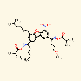 CCCC/C(=N\OC(=O)C(C)C)c1cc(CCCCC(C)C)c2oc3c([N+](=O)[O-])cc(/C(CCCOC)=N/OC(=O)C(C)C)cc3c2c1